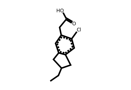 CCC1Cc2cc(Cl)c(CC(=O)O)cc2C1